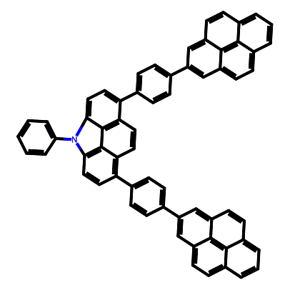 c1ccc(-n2c3ccc(-c4ccc(-c5cc6ccc7cccc8ccc(c5)c6c78)cc4)c4ccc5c(-c6ccc(-c7cc8ccc9cccc%10ccc(c7)c8c9%10)cc6)ccc2c5c43)cc1